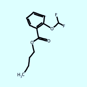 CCCCOC(=O)c1ccc[c]c1OC(F)F